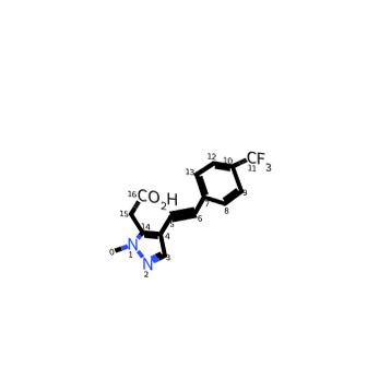 Cn1ncc(C#Cc2ccc(C(F)(F)F)cc2)c1CC(=O)O